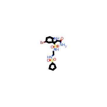 NC(=O)c1[nH]c2ccc(Br)cc2c1S(=O)(=O)NCCNS(=O)(=O)c1ccccc1